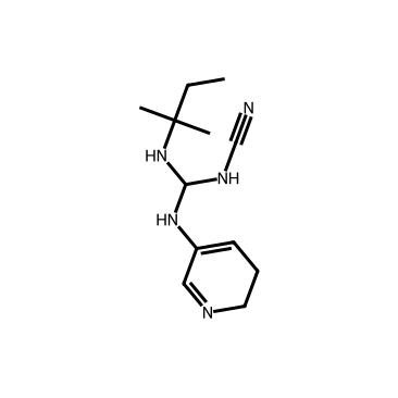 CCC(C)(C)NC(NC#N)NC1=CCCN=C1